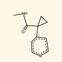 CNC(=O)C1(c2ccncc2)CC1